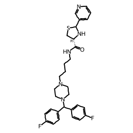 O=C(NCCCCN1CCN(C(c2ccc(F)cc2)c2ccc(F)cc2)CC1)[C@@H]1CSC(c2cccnc2)N1